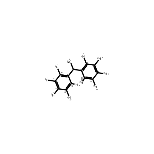 [2H]c1c([2H])c([2H])c(C(C#N)c2c([2H])c([2H])c([2H])c([2H])c2[2H])c([2H])c1[2H]